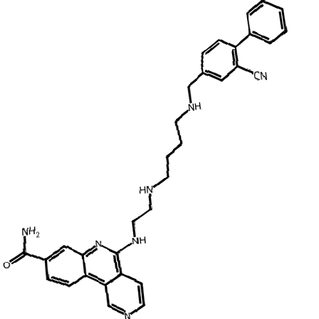 N#Cc1cc(CNCCCCNCCNc2nc3cc(C(N)=O)ccc3c3cnccc23)ccc1-c1ccccc1